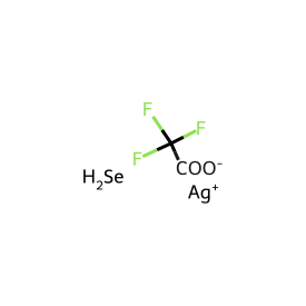 O=C([O-])C(F)(F)F.[Ag+].[SeH2]